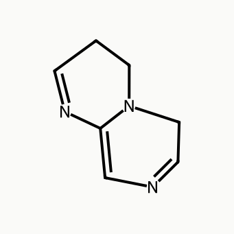 C1=NC=C2N=CCCN2C1